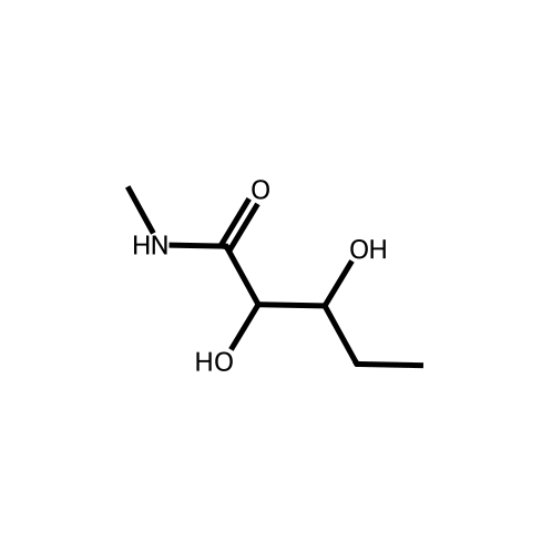 CCC(O)C(O)C(=O)NC